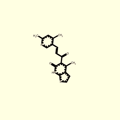 Cc1cc(C)c(C=CC(=O)c2c(C)c3ccsc3[nH]c2=O)cn1